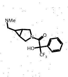 CNCC1C2CN(C(=O)C(O)(c3ccccc3)C(F)(F)F)CC12